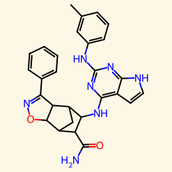 Cc1cccc(Nc2nc(NC3C4CC(C5ON=C(c6ccccc6)C45)C3C(N)=O)c3cc[nH]c3n2)c1